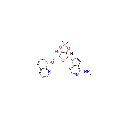 CC1(C)O[C@@H]2[C@H](O1)[C@@H](COc1cccc3cccnc13)O[C@H]2n1ccc2c(N)ncnc21